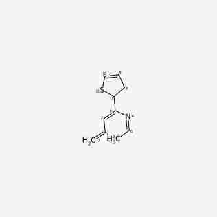 C=C/C=C(\N=C/C)C1CC=CS1